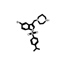 CC(C)c1ccc(S(=O)(=O)n2cc(CN3CCCNCC3)c3cc(Br)ccc32)cc1